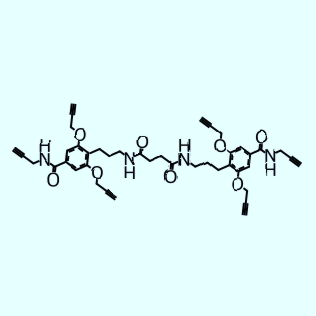 C#CCNC(=O)c1cc(OCC#C)c(CCCNC(=O)CCC(=O)NCCCc2c(OCC#C)cc(C(=O)NCC#C)cc2OCC#C)c(OCC#C)c1